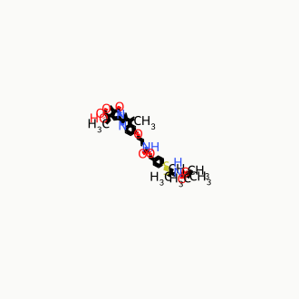 CCc1c2c(nc3ccc(OCCCNC(=O)OCc4ccc(SSC(C)(C)CNC(=O)OC(C)(C)C)cc4)cc13)-c1cc3c(c(=O)n1C2)COC(=O)[C@]3(O)CC